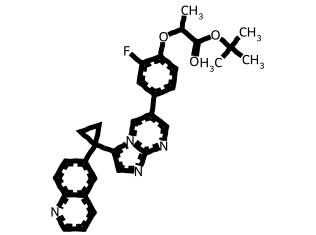 CC(Oc1ccc(-c2cnc3ncc(C4(c5ccc6ncccc6c5)CC4)n3c2)cc1F)C(=O)OC(C)(C)C